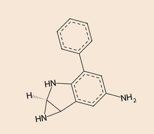 Nc1cc(-c2ccccc2)c2c(c1)C1N[C@H]1N2